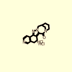 Cl.Cl.O=C1c2c3c(nn2CC2CCCN1C2)-c1ccncc1CC3